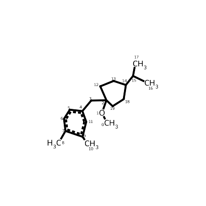 COC1(Cc2ccc(C)c(C)c2)CCC(C(C)C)CC1